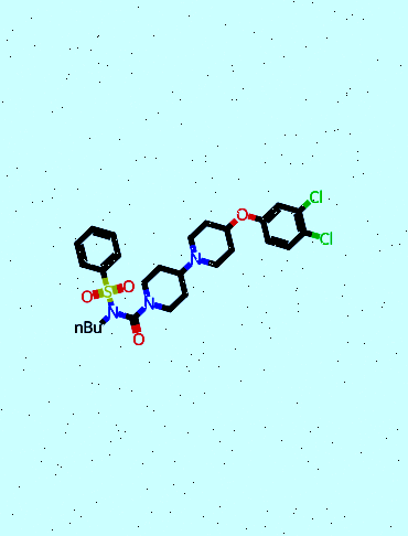 CCCCN(C(=O)N1CCC(N2CCC(Oc3ccc(Cl)c(Cl)c3)CC2)CC1)S(=O)(=O)c1ccccc1